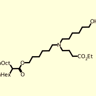 CCCCCCCCC(CCCCCC)C(=O)OCCCCCCN(CCCCCCO)CCCC(=O)OCC